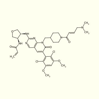 C=CC(=O)N[C@H]1COC[C@H]1Nc1ncc2cc(-c3c(Cl)c(OC)cc(OC)c3Cl)c(=O)n(CC3CCN(C(=O)/C=C/CN(C)C)CC3)c2n1